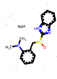 CN(C)c1ccccc1C[S+]([O-])c1nc2ccccc2[nH]1.[NaH]